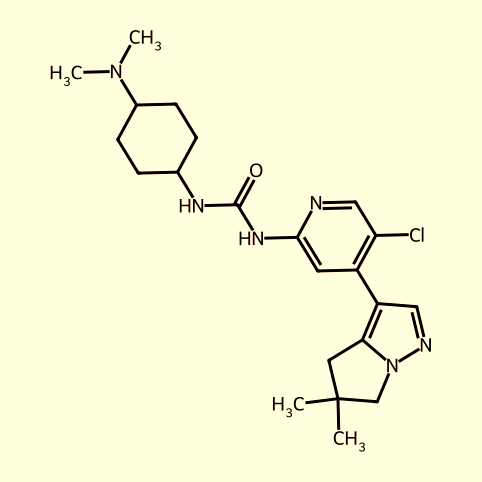 CN(C)C1CCC(NC(=O)Nc2cc(-c3cnn4c3CC(C)(C)C4)c(Cl)cn2)CC1